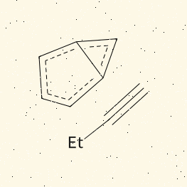 C#CCC.c1cc2cc-2c1